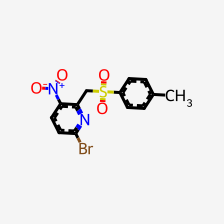 Cc1ccc(S(=O)(=O)Cc2nc(Br)ccc2[N+](=O)[O-])cc1